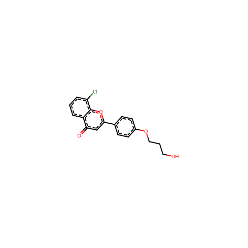 O=c1cc(-c2ccc(OCCCO)cc2)oc2c(Cl)cccc12